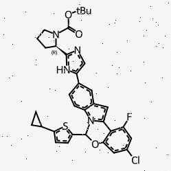 CC(C)(C)OC(=O)N1CCC[C@@H]1c1ncc(-c2ccc3c(c2)cc2n3C(c3ccc(C4CC4)s3)Oc3cc(Cl)cc(F)c3-2)[nH]1